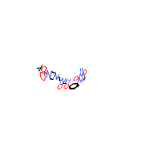 CC(C)(C)OC(=O)N1CCN(CCNC(=O)COc2cccc(N3CCC(=O)NC3=O)c2)CC1